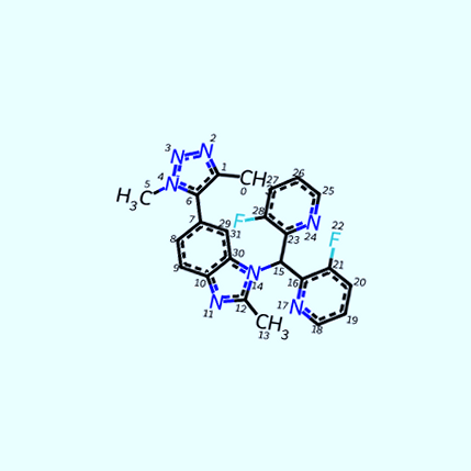 Cc1nnn(C)c1-c1ccc2nc(C)n(C(c3ncccc3F)c3ncccc3F)c2c1